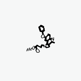 COC(=O)CCCN1CCc2c(C)nc3ccc(Oc4ccccc4)cc3c21